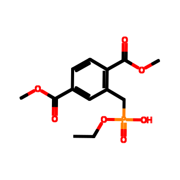 CCOP(=O)(O)Cc1cc(C(=O)OC)ccc1C(=O)OC